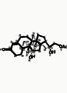 CC(=O)OC[C@H](O)C1CC[C@H]2[C@@H]3CCC4=CC(=O)CC[C@]4(C)[C@H]3[C@@H](O)C[C@]12C